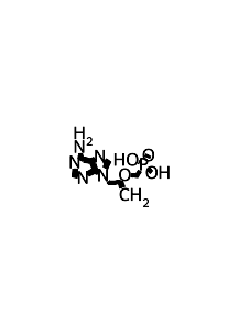 C=C(Cn1cnc2c(N)ncnc21)OCP(=O)(O)O